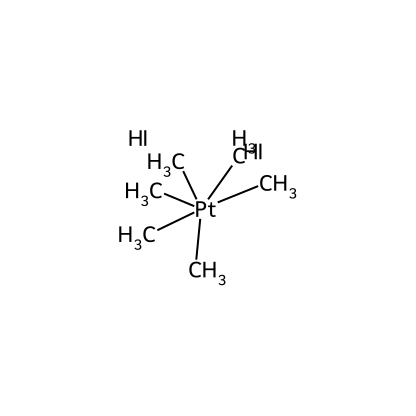 I.I.[CH3][Pt]([CH3])([CH3])([CH3])([CH3])[CH3]